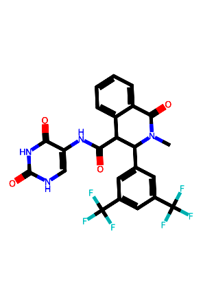 CN1C(=O)c2ccccc2C(C(=O)Nc2c[nH]c(=O)[nH]c2=O)C1c1cc(C(F)(F)F)cc(C(F)(F)F)c1